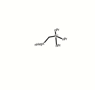 CCCCCCCC[N+](CCC)(CCC)CCC